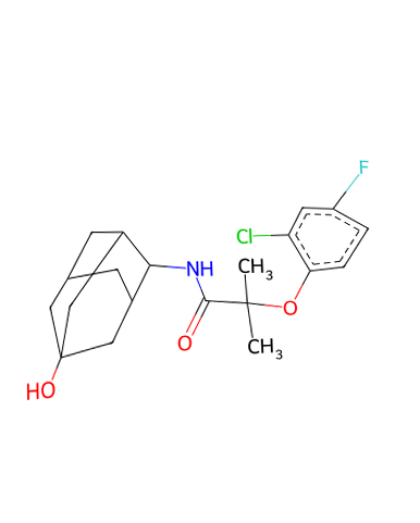 CC(C)(Oc1ccc(F)cc1Cl)C(=O)NC1C2CC3CC1CC(O)(C3)C2